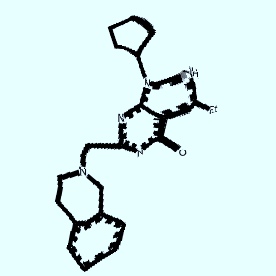 CCc1[nH]n(C2CCCC2)c2nc(CN3CCc4ccccc4C3)nc(=O)c1-2